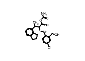 CC(c1cccc2c1CCC2)C(SNc1ccc(Cl)cc1CO)C(=N)OC(N)=O